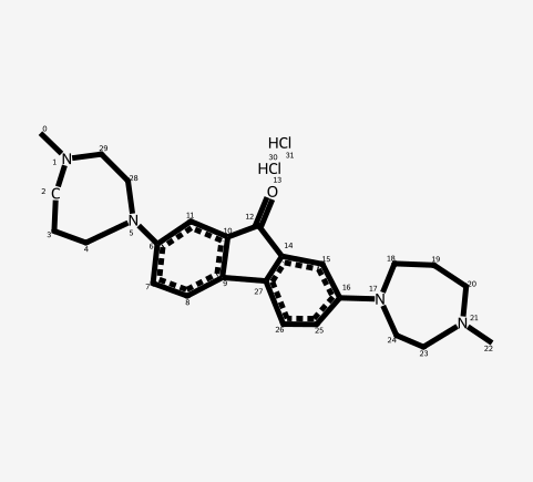 CN1CCCN(c2ccc3c(c2)C(=O)c2cc(N4CCCN(C)CC4)ccc2-3)CC1.Cl.Cl